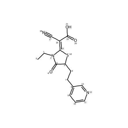 CCN1C(=O)C(CCc2cccnc2)S/C1=C(/C#N)C(=O)O